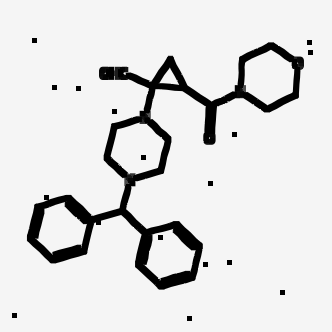 O=CC1(N2CCN(C(c3ccccc3)c3ccccc3)CC2)CC1C(=O)N1CCOCC1